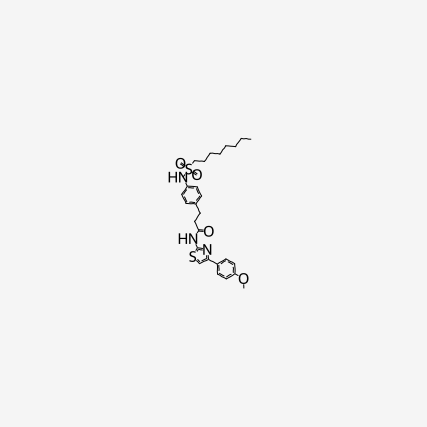 CCCCCCCCS(=O)(=O)Nc1ccc(CCC(=O)Nc2nc(-c3ccc(OC)cc3)cs2)cc1